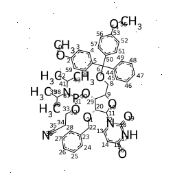 COc1ccc(C(OCC2OC(n3ccc(=O)[nH]c3=O)[C@H](OCc3ccccc3)[C@@H]2OP(OCCC#N)N(C(C)C)C(C)C)(c2ccccc2)c2ccc(OC)cc2)cc1